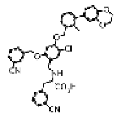 Cc1c(COc2cc(OCc3cccc(C#N)c3)c(CN[C@@H](Cc3cccc(C#N)c3)C(=O)O)cc2Cl)cccc1-c1ccc2c(c1)OCCO2